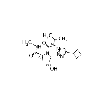 CNC(=O)[C@@H]1C[C@@H](O)CN1C(=O)[C@H](C(C)C)n1cc(C2CCC2)nn1